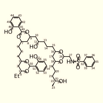 CCC1CC(CCCC2CC(CC(O)CCCC3CC(CCC[C@H](C)O)OC(CNS(=O)(=O)c4ccccc4)O3)OC(c3ccccc3O)O2)OC(c2ccccc2O)O1